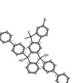 CC1(C)c2cc(Br)ccc2-c2cc3c(cc21)C(O)(c1ccc(-c2ccccc2)cc1)c1ccccc1C3(O)c1ccc(-c2ccccc2)cc1